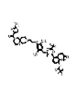 Cc1nc(C(=O)N2CCOC3(CCN(CCOc4cc(C)c(CNC[C@H](OC(=O)C(F)(F)F)c5ccc(OC(=O)C(F)(F)F)c6[nH]c(=O)ccc56)cc4C)CC3)C2)cs1